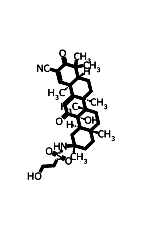 CC1(C)C(=O)C(C#N)=C[C@]2(C)C3=CC(=O)[C@]4(O)[C@@H]5C[C@@](C)(NS(=O)(=O)CCO)CC[C@@]5(C)CC[C@@]4(C)[C@]3(C)CC[C@@H]12